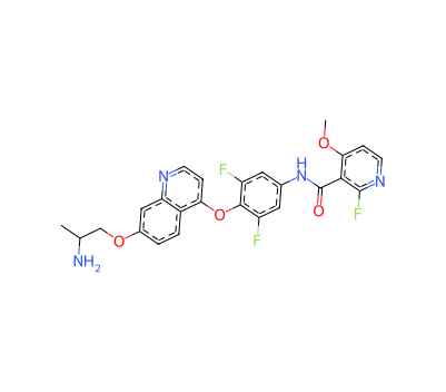 COc1ccnc(F)c1C(=O)Nc1cc(F)c(Oc2ccnc3cc(OCC(C)N)ccc23)c(F)c1